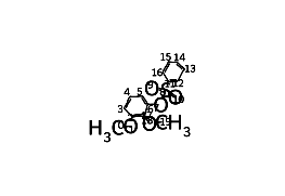 COc1cccc(OS(=O)(=O)c2ccccc2)c1OC